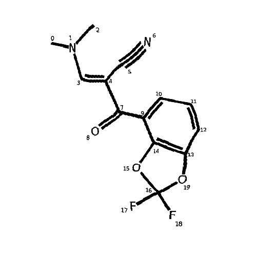 CN(C)C=C(C#N)C(=O)c1cccc2c1OC(F)(F)O2